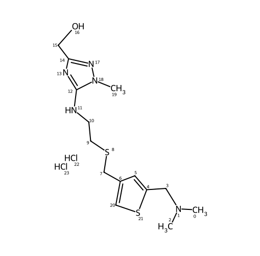 CN(C)Cc1cc(CSCCNc2nc(CO)nn2C)cs1.Cl.Cl